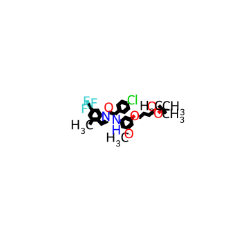 COc1cc(NC(C(=O)n2ccc3c(C)cc(C(F)(F)F)cc32)c2ccc(Cl)cc2)cc(OCCCC(=O)OC(C)(C)C)c1